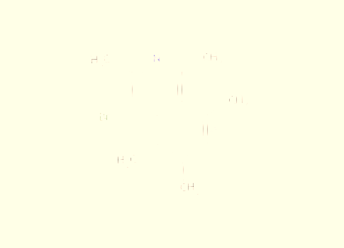 CCC(C)/C=C(/C)c1cc(Br)c(C)nc1C